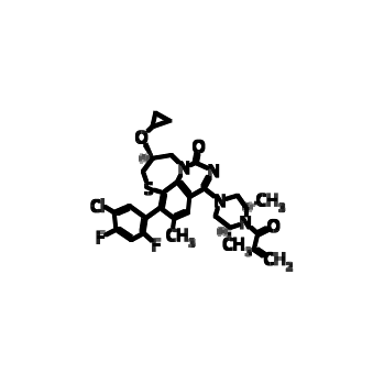 C=CC(=O)N1[C@H](C)CN(c2nc(=O)n3c4c(c(-c5cc(Cl)c(F)cc5F)c(C)cc24)SC[C@@H](OC2CC2)C3)C[C@@H]1C